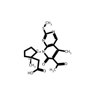 CSc1ncc2c(C)c(C(C)=O)c(=O)n([C@H]3CCC[C@@]3(C)CC(=O)O)c2n1